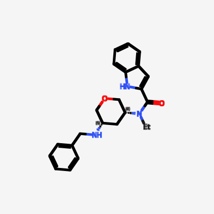 CCN(C(=O)c1cc2ccccc2[nH]1)[C@H]1COC[C@@H](NCc2ccccc2)C1